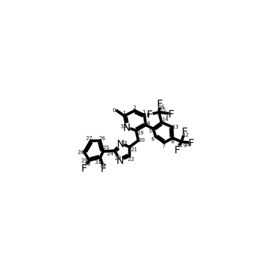 Cc1ccc(-c2ccc(C(F)(F)F)cc2C(F)(F)F)c(CC2C=NC(c3cccc(F)c3F)=N2)n1